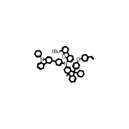 C=CC1=CC[C@@H](OC2C=CC(C3(C4CCCCC4)C4C=CCCC4C4(C)CCC(N(C5=CCC(C6C=CC7C(C6)C6CC=CC=C6N7C6=CCCCC6)CC5)C5C=CCC6C7CCC=C(C(C)(C)C)C7OC65)=CC43)=CC2)CC1